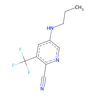 CCCNc1cnc(C#N)c(C(F)(F)F)c1